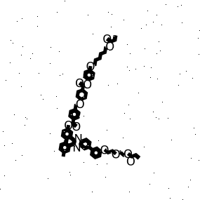 C=CC(=O)OCCCCCCOc1ccc(OC(=O)C2CCC(OCc3ccc(C(=O)Oc4ccc5c6ccc(C)cc6c6nc7cc(-c8cccc(OCCOCCOC(=O)C=C)c8)ccc7nc6c5c4)cc3)CC2)cc1